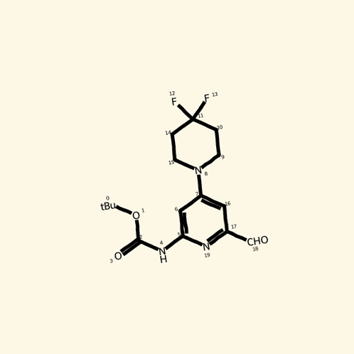 CC(C)(C)OC(=O)Nc1cc(N2CCC(F)(F)CC2)cc(C=O)n1